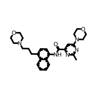 Cc1nc(C(=O)Nc2ccc(CCCN3CCOCC3)c3ccccc23)cc(N2CCOCC2)n1